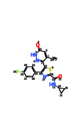 CC(C)c1cc(=O)[nH]nc1-c1sc(C(=O)NC2CC2)nc1-c1ccc(F)cc1